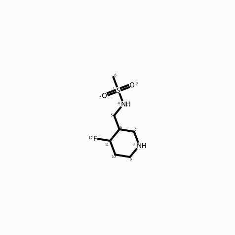 CS(=O)(=O)NCC1CNCCC1F